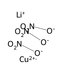 O=[N+]([O-])[O-].O=[N+]([O-])[O-].O=[N+]([O-])[O-].[Cu+2].[Li+]